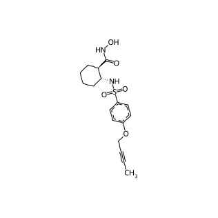 CC#CCOc1ccc(S(=O)(=O)N[C@@H]2CCCC[C@H]2C(=O)NO)cc1